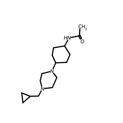 CC(=O)NC1CCC(N2CCN(CC3CC3)CC2)CC1